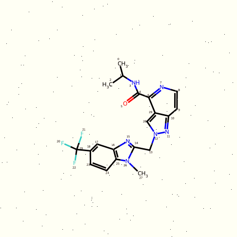 CC(C)NC(=O)c1nccc2nn(Cc3nc4cc(C(F)(F)F)ccc4n3C)cc12